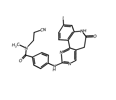 CN(CCC#N)C(=O)c1ccc(Nc2ncc3c(n2)-c2ccc(I)cc2NC(=O)C3)cc1